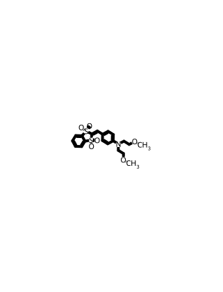 COCCN(CCOC)c1ccc(C=C2S(=O)(=O)c3ccccc3S2(=O)=O)cc1